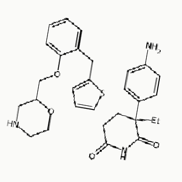 CCC1(c2ccc(N)cc2)CCC(=O)NC1=O.c1csc(Cc2ccccc2OCC2CNCCO2)c1